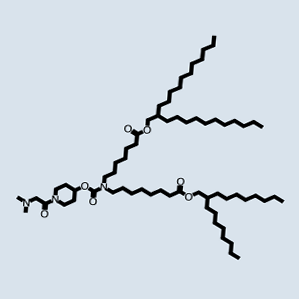 CCCCCCCCCCCC(CCCCCCCCCCC)COC(=O)CCCCCCN(CCCCCCCC(=O)OCC(CCCCCCCC)CCCCCCCC)C(=O)OC1CCN(C(=O)CN(C)C)CC1